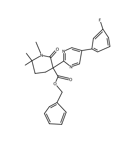 CN1C(=O)C(C(=O)OCc2ccccc2)(c2ncc(-c3cccc(F)c3)cn2)CCC1(C)C